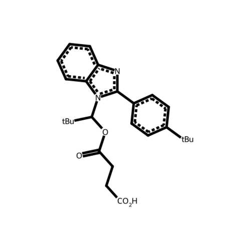 CC(C)(C)c1ccc(-c2nc3ccccc3n2C(OC(=O)CCC(=O)O)C(C)(C)C)cc1